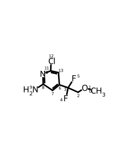 COCC(F)(F)c1cc(N)nc(Cl)c1